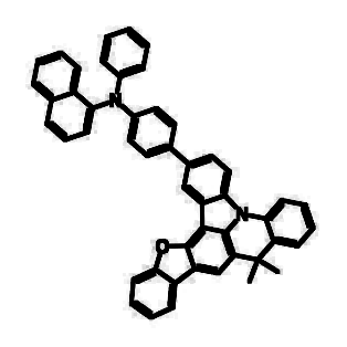 CC1(C)c2ccccc2-n2c3ccc(-c4ccc(N(c5ccccc5)c5cccc6ccccc56)cc4)cc3c3c4oc5ccccc5c4cc1c32